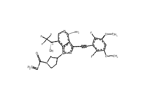 C=CC(=O)N1CCC(n2nc(C#Cc3c(F)c(OC)cc(OC)c3F)c3c(N)ncc([C@H](O)C(F)(F)F)c32)C1